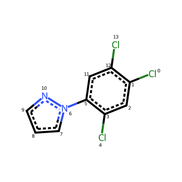 Clc1cc(Cl)c(-n2cccn2)cc1Cl